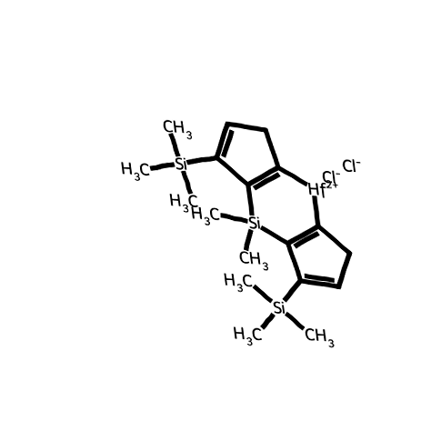 C[Si](C)(C)C1=CC[C]2=C1[Si](C)(C)C1=[C](CC=C1[Si](C)(C)C)[Hf+2]2.[Cl-].[Cl-]